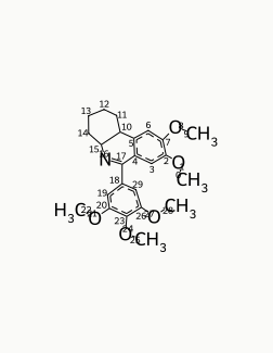 COc1cc2c(cc1OC)C1CCCCC1N=C2c1cc(OC)c(OC)c(OC)c1